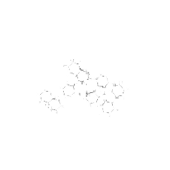 Cc1cc(-c2ccnc3ccccc23)ccc1-c1nc(-c2cccc3c2-c2ccccc2C32c3ccccc3-c3ccccc32)nc2ccccc12